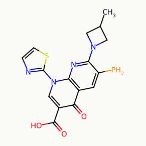 CC1CN(c2nc3c(cc2P)c(=O)c(C(=O)O)cn3-c2nccs2)C1